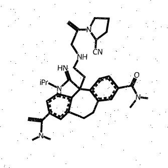 C=C(c1ccc2c(c1)CCc1cc(C(=O)N(C)C)ccc1C2(CCNCC(=C)N1CCCC1C#N)C(=N)NC(C)C)N(C)C